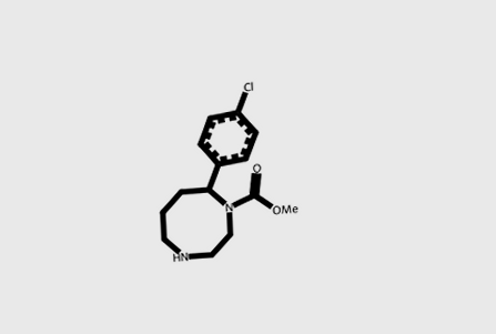 COC(=O)N1CCNCCCC1c1ccc(Cl)cc1